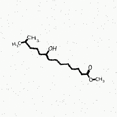 COC(=O)CCCCCCCC(O)CCCC(C)C